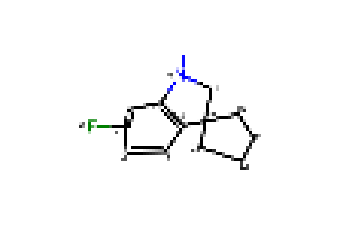 Fc1ccc2c(c1)NCC21CCCC1